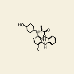 C=CC(=O)Nc1ccccc1Nc1nc(NC2CCC(O)CC2)ncc1Cl